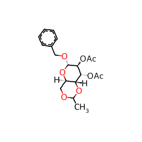 CC(=O)O[C@H]1[C@H](OC(C)=O)[C@@H](OCc2ccccc2)O[C@@H]2COC(C)O[C@@H]12